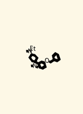 CCN(C)C1CCC(c2cccc(OCc3ccccc3)c2)(N(C)C)CC1